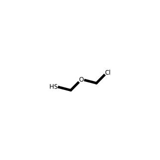 SCOCCl